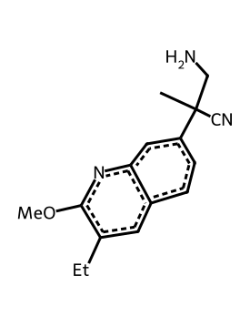 CCc1cc2ccc(C(C)(C#N)CN)cc2nc1OC